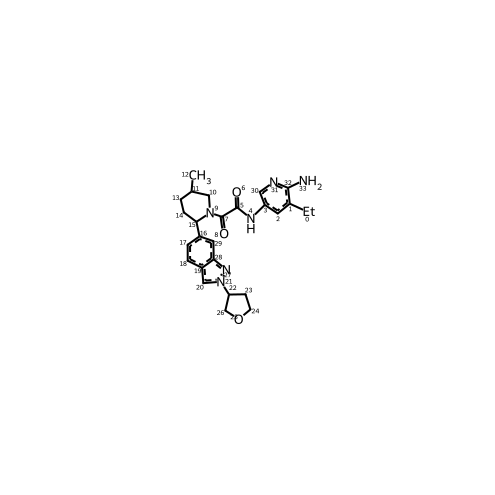 CCc1cc(NC(=O)C(=O)N2CC(C)CCC2c2ccc3cn(C4CCOC4)nc3c2)cnc1N